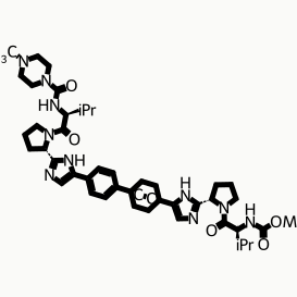 COC(=O)N[C@H](C(=O)N1CCC[C@H]1c1ncc(C23CCC(c4ccc(-c5cnc([C@@H]6CCCN6C(=O)[C@@H](NC(=O)N6CCN(C)CC6)C(C)C)[nH]5)cc4)(CC2)CC3)[nH]1)C(C)C